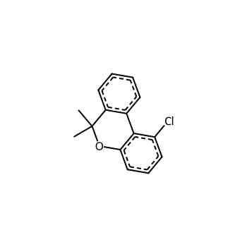 CC1(C)Oc2cccc(Cl)c2-c2ccccc21